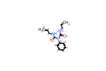 C=CCNC(=O)N(C(=O)NCC=C)c1ccccc1